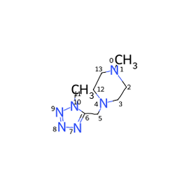 CN1CCN(Cc2nnnn2C)CC1